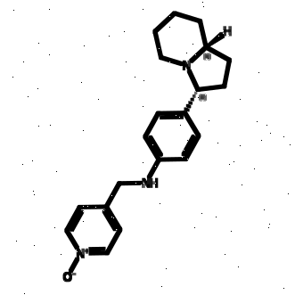 [O-][n+]1ccc(CNc2ccc([C@H]3CC[C@H]4CCCCN43)cc2)cc1